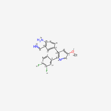 CCOc1cnc(-c2ccc(F)c(F)c2)c(-c2ccc(N)c(C=N)c2)c1